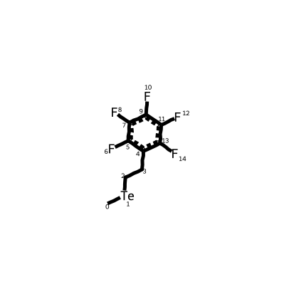 C[Te]CCc1c(F)c(F)c(F)c(F)c1F